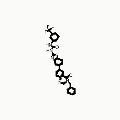 O=C(Nc1cccc(C(F)(F)F)c1)Nc1nc2cc(-c3ccc4ncn(Cc5ccccc5)c(=O)c4c3)ccc2s1